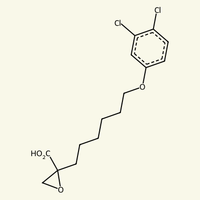 O=C(O)C1(CCCCCCOc2ccc(Cl)c(Cl)c2)CO1